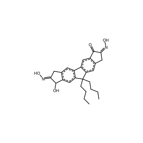 CCCCC1(CCCC)c2cc3c(cc2-c2cc4c(cc21)C(O)/C(=N/O)C4)C(=O)/C(=N\O)C3